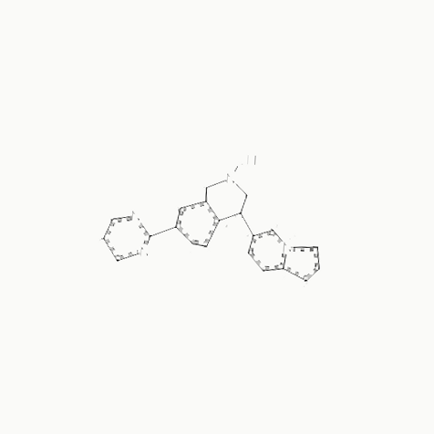 CN1Cc2cc(-c3ncccn3)ccc2C(c2ccc3cccn3c2)C1